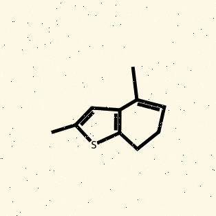 CC1=CCCc2sc(C)cc21